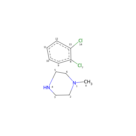 CN1CCNCC1.Clc1ccccc1Cl